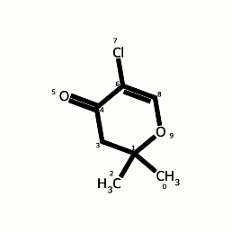 CC1(C)CC(=O)C(Cl)=CO1